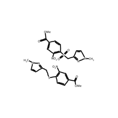 COC(=O)c1ccc(S(=O)(=O)Cc2ccn(C)n2)c([N+](=O)[O-])c1.COC(=O)c1ccc(SCc2ccn(C)n2)c([N+](=O)[O-])c1